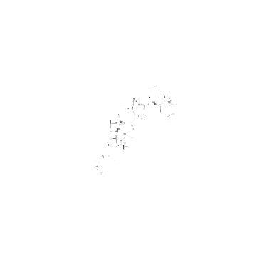 CCC(=O)O[C@H]1CC[C@H]2[C@@H]3CC=C4c5sc(Nc6ccccn6)nc5CC[C@]4(C)[C@H]3CC[C@]12C